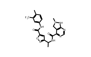 Cc1ccc(NC(=O)c2cc(C(C)NC(=O)c3ncnc4c3CN(C)N4)no2)cc1C(F)(F)F